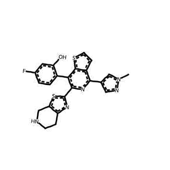 Cn1cc(-c2nc(-c3nc4c(s3)CNCC4)c(-c3ccc(F)cc3O)c3sccc23)cn1